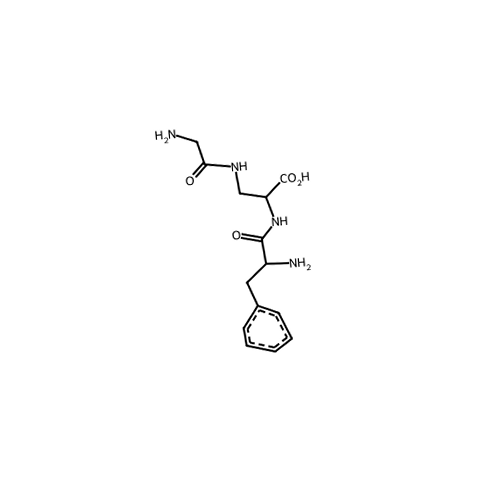 NCC(=O)NCC(NC(=O)C(N)Cc1ccccc1)C(=O)O